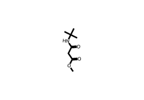 COC(=O)CC(=O)NC(C)(C)C